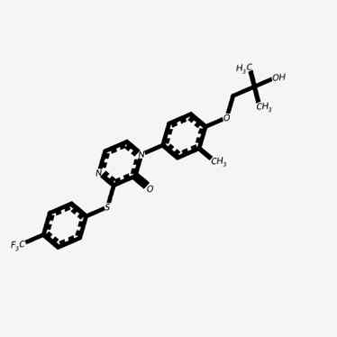 Cc1cc(-n2ccnc(Sc3ccc(C(F)(F)F)cc3)c2=O)ccc1OCC(C)(C)O